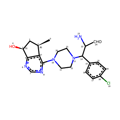 C[C@@H]1C[C@H](O)c2ncnc(N3CCN(C(c4ccc(Cl)cc4)C(N)C=O)CC3)c21